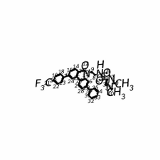 Cc1nc(S(=O)(=O)NCC[N]C(=O)c2ccc(-c3ccc(C(F)(F)F)cc3)cc2-c2ccc(-c3ccccc3)cc2)cn1C